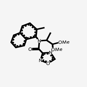 COC(OC)C(C)N(C(=O)c1ncon1)c1c(C)ccc2ccccc12